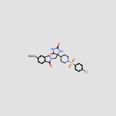 COc1ccc2c(c1)CN(CC1(C3CCN(S(=O)(=O)c4ccc(Cl)cc4)CC3)NC(=O)NC1=O)C2=O